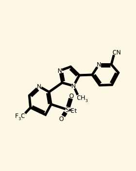 CCS(=O)(=O)c1cc(C(F)(F)F)cnc1-c1ncc(-c2cccc(C#N)n2)n1C